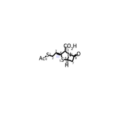 CC(=O)SC/C=C1\S[C@@H]2CC(=O)N2C1C(=O)O